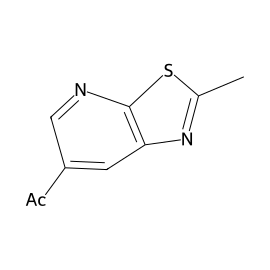 CC(=O)c1cnc2sc(C)nc2c1